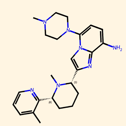 Cc1cccnc1[C@H]1CCC[C@@H](c2cn3c(N4CCN(C)CC4)ccc(N)c3n2)N1C